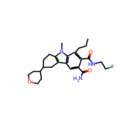 CCCc1c(C(=O)NCCF)c(C(N)=O)cc2c3c(n(C)c12)CCC(C1CCOCC1)C3